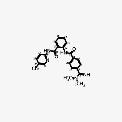 CN(C)C(=N)c1ccc(C(=O)Nc2ccccc2C(=O)Nc2ccc(Cl)cn2)cc1